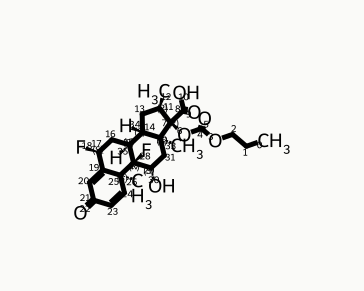 CCCOC(=O)O[C@]1(C(=O)O)[C@H](C)C[C@H]2[C@@H]3C[C@H](F)C4=CC(=O)C=C[C@]4(C)[C@@]3(F)[C@@H](O)C[C@@]21C